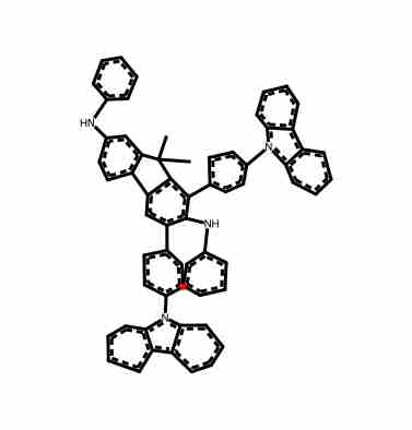 CC1(C)c2cc(Nc3ccccc3)ccc2-c2cc(-c3ccc(-n4c5ccccc5c5ccccc54)cc3)c(Nc3ccccc3)c(-c3ccc(-n4c5ccccc5c5ccccc54)cc3)c21